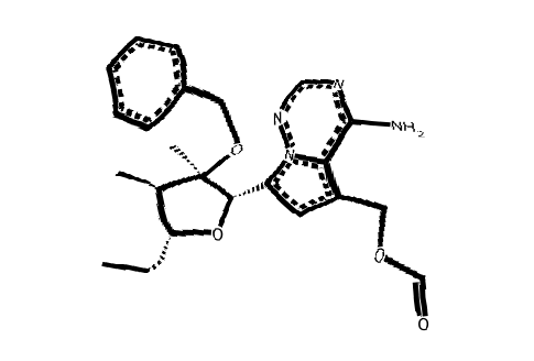 CC[C@H]1O[C@@H](c2cc(COC=O)c3c(N)ncnn23)[C@](C)(OCc2ccccc2)[C@@H]1C